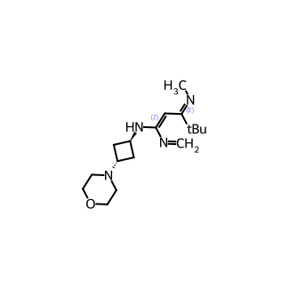 C=N/C(=C\C(=N/C)C(C)(C)C)N[C@H]1C[C@H](N2CCOCC2)C1